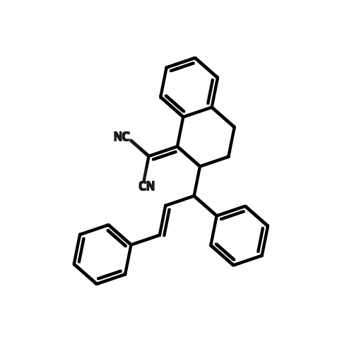 N#CC(C#N)=C1c2ccccc2CCC1C(/C=C/c1ccccc1)c1ccccc1